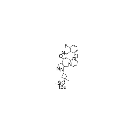 Cc1c(-c2onc(-c3c(F)cccc3Cl)c2-c2ncccn2)cnn1C1CC(C)(O[Si](C)(C)C(C)(C)C)C1